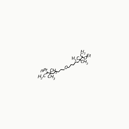 C=C(CCC)C(C)(C)CCCCCOCCCCCC(C)(C)C(=C)OCC